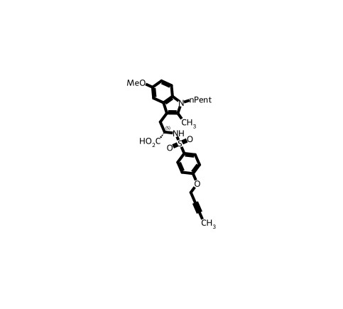 CC#CCOc1ccc(S(=O)(=O)N[C@@H](Cc2c(C)n(CCCCC)c3ccc(OC)cc23)C(=O)O)cc1